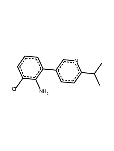 CC(C)c1ccc(-c2cccc(Cl)c2N)cn1